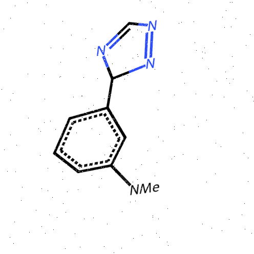 CNc1cccc(C2N=CN=N2)c1